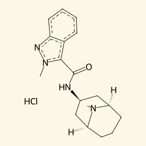 CN1[C@@H]2CCC[C@H]1C[C@@H](NC(=O)c1c3ccccc3nn1C)C2.Cl